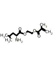 C=C(C)C(=O)OCCOC(=O)[C@H](N)CC(C)C